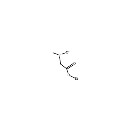 CCOC(=O)C[S+](C)[O-]